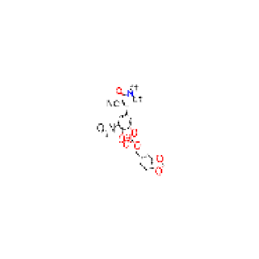 CCN(CC)C(=O)/C(C#N)=C/c1cc(OC(=O)OCc2ccc3c(c2)OCO3)c(O)c([N+](=O)[O-])c1